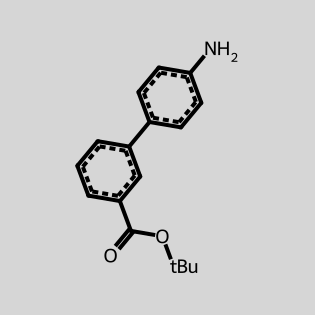 CC(C)(C)OC(=O)c1cccc(-c2ccc(N)cc2)c1